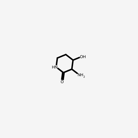 NC1C(=O)NCCC1O